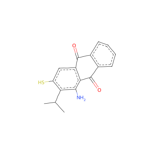 CC(C)c1c(S)cc2c(c1N)C(=O)c1ccccc1C2=O